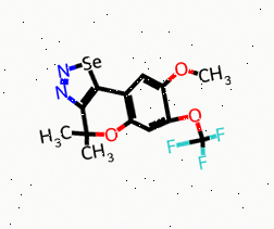 COc1cc2c(cc1OC(F)(F)F)OC(C)(C)c1nn[se]c1-2